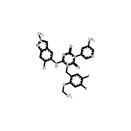 Cc1cncc(-n2c(=O)nc(Nc3cc4cn(C)nc4cc3Cl)n(Cc3cc(F)c(F)cc3OCC(F)(F)F)c2=O)c1